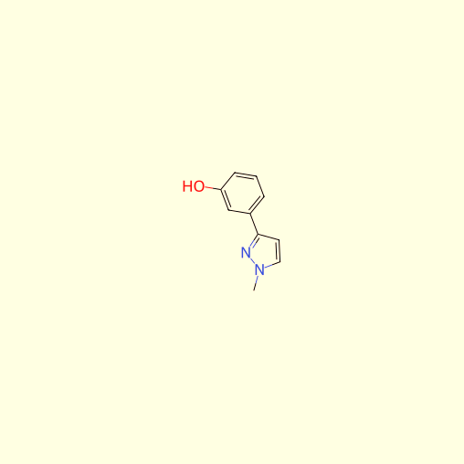 Cn1ccc(-c2cccc(O)c2)n1